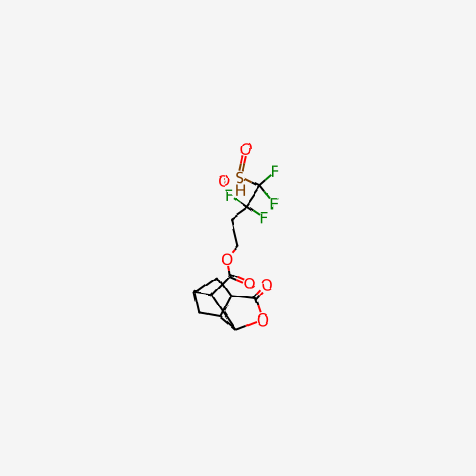 O=C1OC2C3CC(CC13)C2C(=O)OCCC(F)(F)C(F)(F)[SH](=O)=O